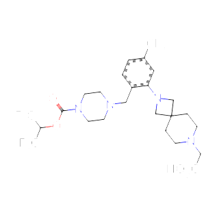 O=C(O)CN1CCC2(CC1)CN(c1cc(C(F)(F)F)ccc1CN1CCN(C(=O)OC(C(F)(F)F)C(F)(F)F)CC1)C2